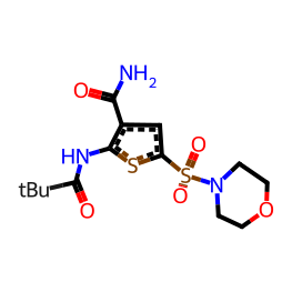 CC(C)(C)C(=O)Nc1sc(S(=O)(=O)N2CCOCC2)cc1C(N)=O